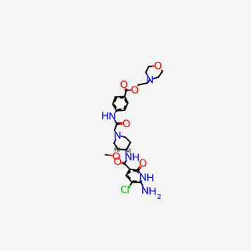 CO[C@@H]1CN(CC(=O)Nc2ccc(C(=O)OCCN3CCOCC3)cc2)CC[C@@H]1NC(=O)c1cc(Cl)c(N)[nH]c1=O